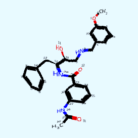 COc1cccc(CNC[C@H](O)[C@H](Cc2ccccc2)NC(=O)c2cccc(NC(C)=O)c2)c1